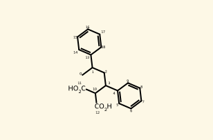 CC(CC(c1ccccc1)C(C(=O)O)C(=O)O)c1ccccc1